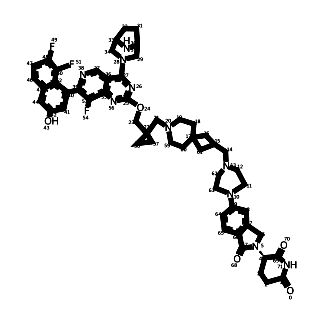 O=C1CC[C@H](N2Cc3cc(N4CCN(CC5CC6(CCN(CC7(COc8nc(N9CC%10CCC(C9)N%10)c9cnc(-c%10cc(O)cc%11ccc(F)c(F)c%10%11)c(F)c9n8)CC7)CC6)C5)CC4)ccc3C2=O)C(=O)N1